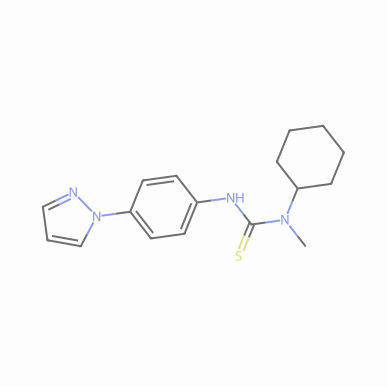 CN(C(=S)Nc1ccc(-n2cccn2)cc1)C1CCCCC1